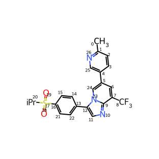 Cc1ccc(-c2cc(C(F)(F)F)c3ncc(-c4ccc(S(=O)(=O)C(C)C)cc4)n3c2)cn1